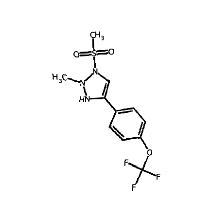 CN1NC(c2ccc(OC(F)(F)F)cc2)=CN1S(C)(=O)=O